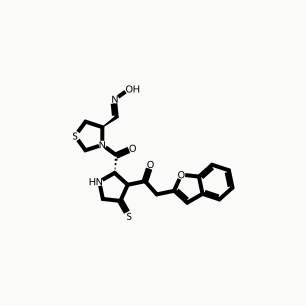 O=C(Cc1cc2ccccc2o1)C1C(=S)CN[C@@H]1C(=O)N1CSC[C@H]1C=NO